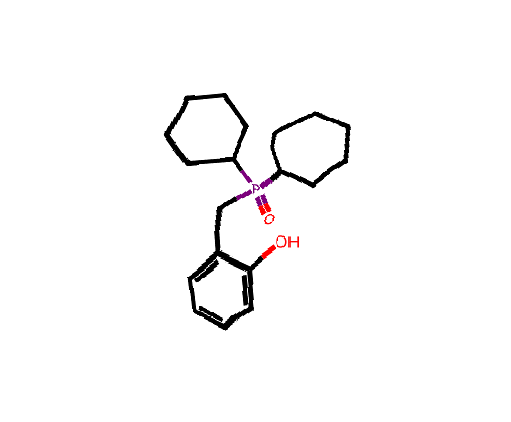 O=P(Cc1ccccc1O)(C1CCCCC1)C1CCCCC1